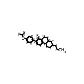 CCCC1CCC2c3ccc(-c4ccc(OC(F)F)cc4)c(F)c3CCC2C1